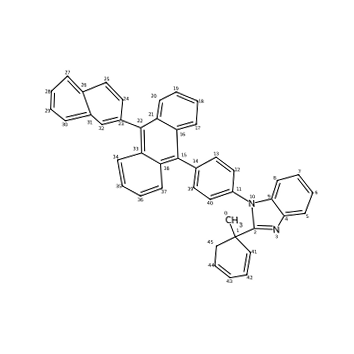 CC1(c2nc3ccccc3n2-c2ccc(-c3c4ccccc4c(-c4ccc5ccccc5c4)c4ccccc34)cc2)C=CC=CC1